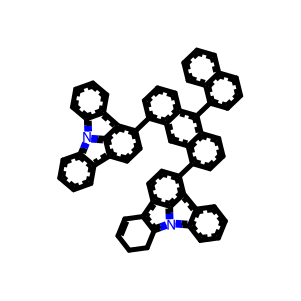 C1=Cc2c(n3c4ccccc4c4c(-c5cccc6c(-c7cccc8ccccc78)c7cccc(-c8ccc9c%10ccccc%10n%10c%11ccccc%11c8c9%10)c7cc56)ccc2c43)CC1